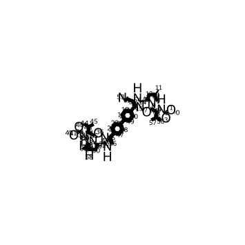 COC(=O)N[C@H](C(=O)N1C[C@H](C)C[C@H]1c1nc(-c2ccc(-c3ccc(-c4c[nH]c([C@@H]5C[C@H]6C[C@H]6N5C(=O)[C@@H](NC(=O)OC)C(C)C)n4)cc3)cc2)c(C#N)[nH]1)C(C)C